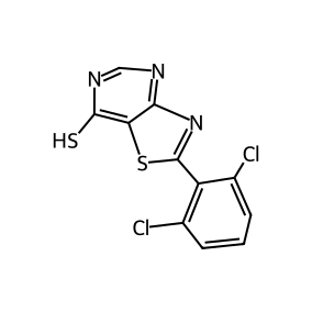 Sc1ncnc2nc(-c3c(Cl)cccc3Cl)sc12